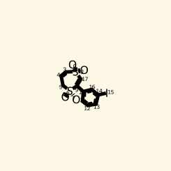 O=S1(=O)C=CCS(=O)(=O)C(c2cccc(I)c2)=C1